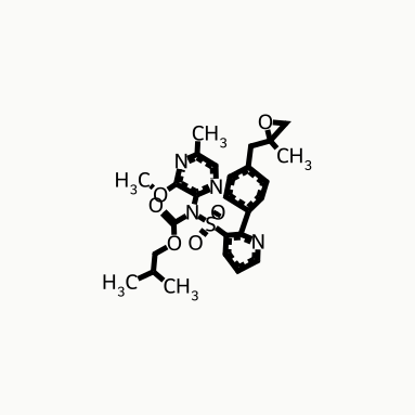 COc1nc(C)cnc1N(C(=O)OCC(C)C)S(=O)(=O)c1cccnc1-c1ccc(CC2(C)CO2)cc1